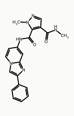 CNC(=O)c1cnn(C)c1C(=O)Nc1ccn2cc(-c3ccccc3)nc2c1